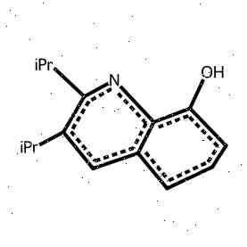 CC(C)c1cc2cccc(O)c2nc1C(C)C